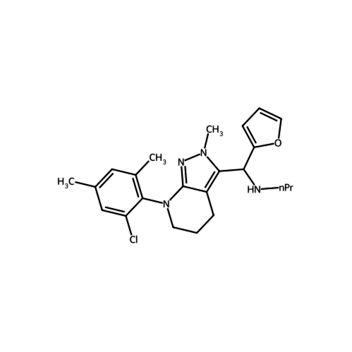 CCCNC(c1ccco1)c1c2c(nn1C)N(c1c(C)cc(C)cc1Cl)CCC2